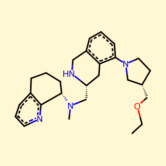 CCOC[C@H]1CCN(c2cccc3c2C[C@H](CN(C)[C@H]2CCCc4cccnc42)NC3)C1